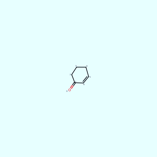 O=C1[CH]CCC=C1